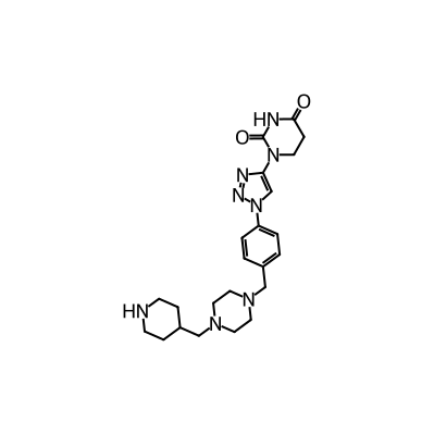 O=C1CCN(c2cn(-c3ccc(CN4CCN(CC5CCNCC5)CC4)cc3)nn2)C(=O)N1